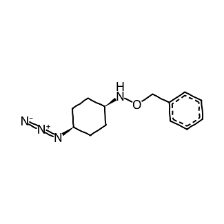 [N-]=[N+]=N[C@H]1CC[C@@H](NOCc2ccccc2)CC1